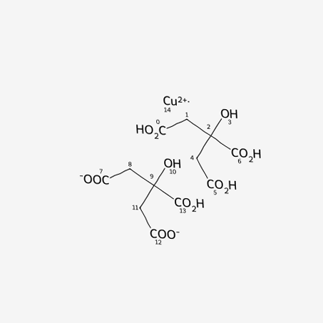 O=C(O)CC(O)(CC(=O)O)C(=O)O.O=C([O-])CC(O)(CC(=O)[O-])C(=O)O.[Cu+2]